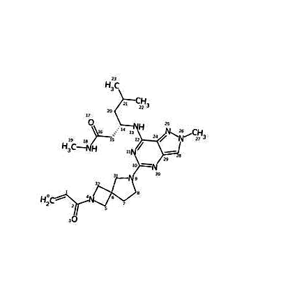 C=CC(=O)N1CC2(CCN(c3nc(N[C@H](CC(=O)NC)CC(C)C)c4nn(C)cc4n3)C2)C1